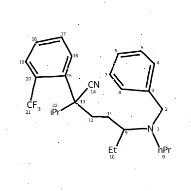 CCCN(Cc1ccccc1)C(CC)CCC(C#N)(c1ccccc1C(F)(F)F)C(C)C